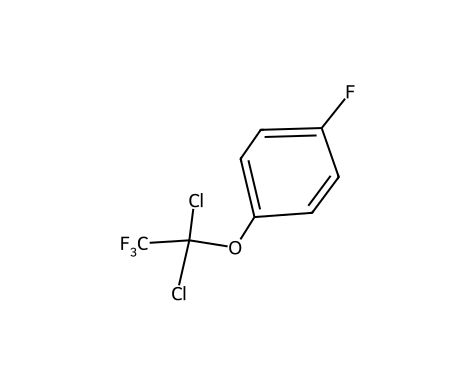 Fc1ccc(OC(Cl)(Cl)C(F)(F)F)cc1